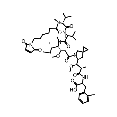 CC[C@H](C)[C@@H](C(CC(=O)N1CC2(CC2)C[C@H]1[C@H](OC)[C@@H](C)C(=O)N[C@@H](Cc1ccccc1F)C(=O)O)OC)N(C)C(=O)[C@@H](NC(=O)[C@H](C(C)C)N(C)C(=O)CCCCCN1C(=O)C=CC1=O)C(C)C